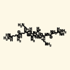 N=C(N)NCCC[C@H](N)C(=O)NCCNC(=O)[C@H](CCCCN)NC(=O)c1nc(N)c(C(=O)N[C@@H](CCCCN)C(=O)NCCNC(=O)[C@@H](N)CCCNC(=N)N)nc1N